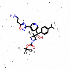 CC(C)c1ccc([C@](O)(c2cncc(-c3noc(CCN)n3)c2)C2(C)CN(C(=O)OC(C)(C)C)C2)cc1